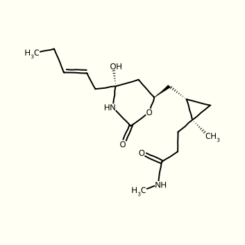 CC/C=C/C[C@@]1(O)C[C@@H](C[C@@H]2C[C@@]2(C)CCC(=O)NC)OC(=O)N1